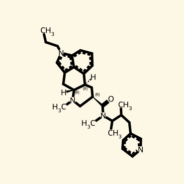 CCCn1cc2c3c(cccc31)[C@H]1C[C@@H](C(=O)N(C)C(C)C(C)Cc3cccnc3)CN(C)[C@@H]1C2